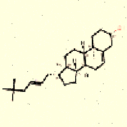 CC(C)(C)C/C=C/C[C@H]1CC[C@H]2[C@@H]3CC=C4C[C@@H](O)CC[C@]4(C)[C@H]3CC[C@]12C